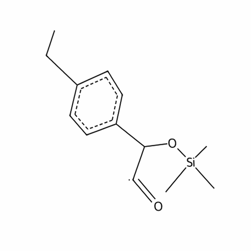 CCc1ccc(C([C]=O)O[Si](C)(C)C)cc1